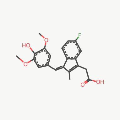 COc1cc(/C=C2/C(C)=C(CC(=O)O)c3cc(F)ccc32)cc(OC)c1O